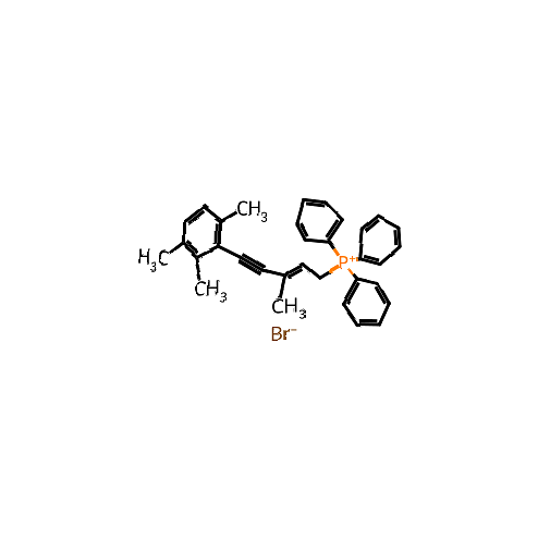 C/C(C#Cc1c(C)ccc(C)c1C)=C\C[P+](c1ccccc1)(c1ccccc1)c1ccccc1.[Br-]